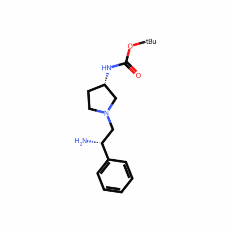 CC(C)(C)OC(=O)N[C@H]1CCN(C[C@@H](N)c2ccccc2)C1